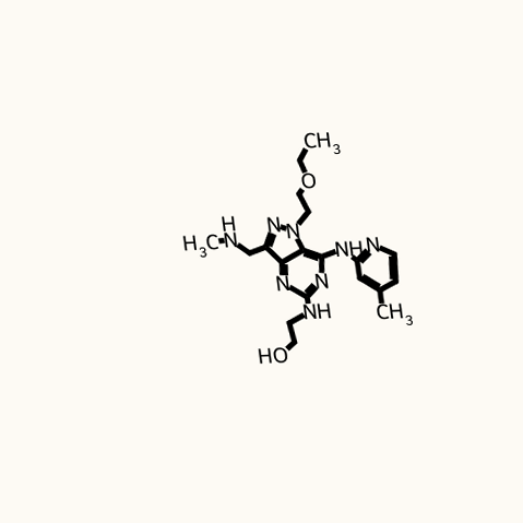 CCOCCn1nc(CNC)c2nc(NCCO)nc(Nc3cc(C)ccn3)c21